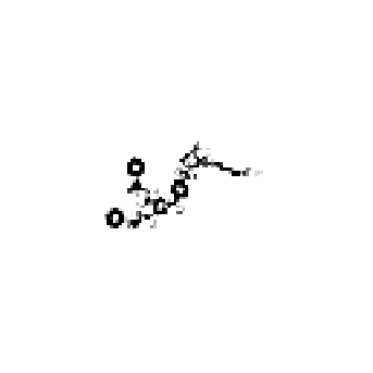 CCCCCCCCCCCCCCNC(=O)[C@@H]1CN(S(=O)(=O)c2ccc(C(=O)N3C[C@@H](C(=O)N[C@H]4C[C@@H]4c4ccccc4)[C@H](C(=O)N[C@H]4C[C@@H]4c4ccccc4)C3)cc2)CCN1C(C)=O